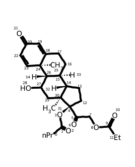 CCCC(=O)O[C@]1(C(=O)COC(=O)CC)CC[C@H]2[C@@H]3CCC4=CC(=O)C=C[C@]4(C)[C@H]3C(O)C[C@@]21C